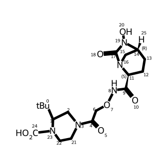 CC(C)(C)C1CN(C(=O)CONC(=O)[C@@H]2CC[C@@H]3CN2C(=O)N3O)CCN1C(=O)O